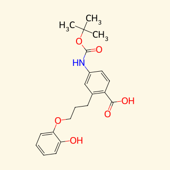 CC(C)(C)OC(=O)Nc1ccc(C(=O)O)c(CCCOc2ccccc2O)c1